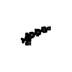 CC(C)[C@@H](CS(=O)(=O)N1CCC(c2ncc(-c3ccc(Cl)cc3)cn2)CC1)C(=O)O